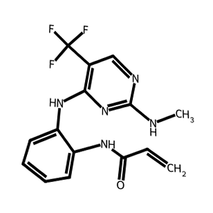 C=CC(=O)Nc1ccccc1Nc1nc(NC)ncc1C(F)(F)F